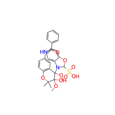 COC1(N2c3ccccc3OC2S(=O)(=O)O)c2cc(NC(=O)c3ccccc3)ccc2OC(C)(C)C1(O)OC